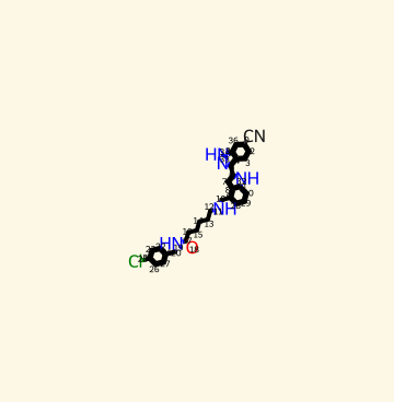 N#Cc1ccc2c(-c3cc4c(CNCCCCCC(=O)NCc5ccc(Cl)cc5)cccc4[nH]3)n[nH]c2c1